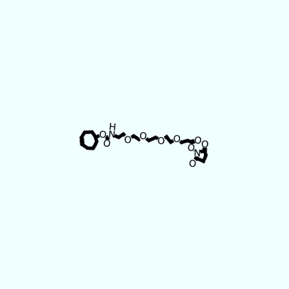 O=C(CCOCCOCCOCCOCCNC(=O)OC1CCC=CCCC1)ON1C(=O)CCC1=O